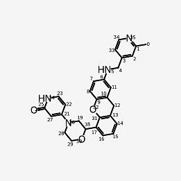 Cc1cc(CNc2ccc3c(c2)Cc2cccc(C4CN(c5cc[nH]c(=O)c5)CCO4)c2O3)ccn1